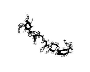 COc1ccc(-c2nc(CSCC(=O)N3CCN(c4cccc(C(F)(F)F)c4)CC3)c(C)o2)cc1OC